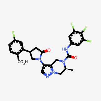 C[C@H]1Cn2ncc(N3CC(c4cc(F)ccc4C(=O)O)CC3=O)c2CN1C(=O)Nc1cc(F)c(F)c(F)c1